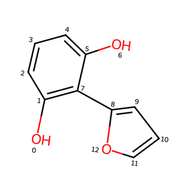 Oc1cccc(O)c1-c1ccco1